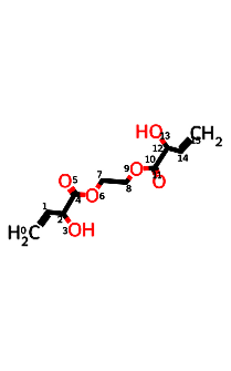 C=CC(O)C(=O)OCCOC(=O)C(O)C=C